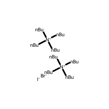 CCCC[N+](CCCC)(CCCC)CCCC.CCCC[N+](CCCC)(CCCC)CCCC.[Br-].[I-]